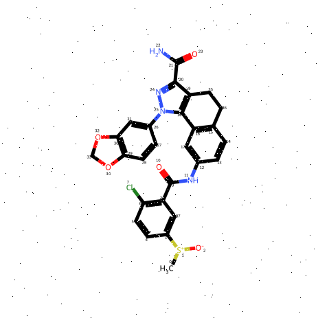 C[S+]([O-])c1ccc(Cl)c(C(=O)Nc2ccc3c(c2)-c2c(c(C(N)=O)nn2-c2ccc4c(c2)OCO4)CC3)c1